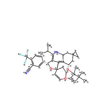 CC(C)C1=C2C(=C3C(CC4(CC4)C[C@@H]3O[Si](C)(C)C(C)(C)C)N1)C1(C=COCC1)O[C@@H]2c1ccc(C(F)(F)F)c(C#N)c1